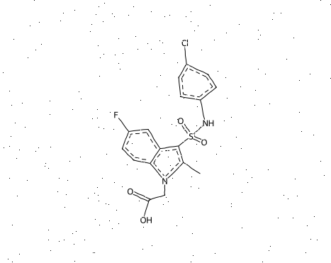 Cc1c(S(=O)(=O)Nc2ccc(Cl)cc2)c2cc(F)ccc2n1CC(=O)O